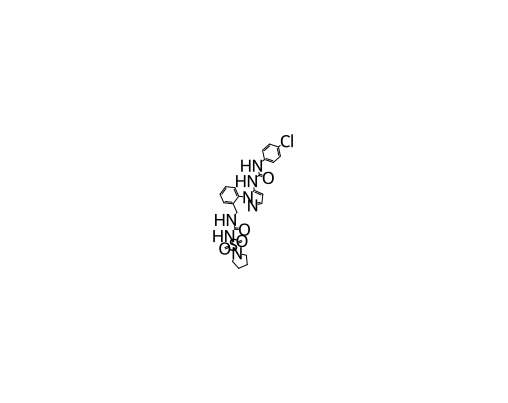 O=C(Nc1ccc(Cl)cc1)Nc1ccnn1-c1ccccc1CNC(=O)NS(=O)(=O)N1CCCC1